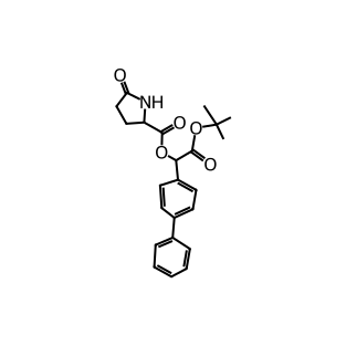 CC(C)(C)OC(=O)C(OC(=O)C1CCC(=O)N1)c1ccc(-c2ccccc2)cc1